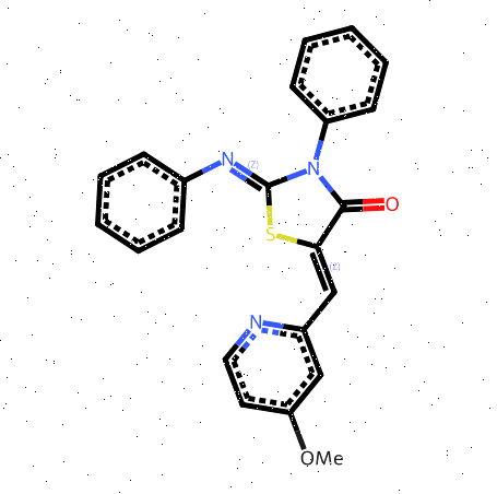 COc1ccnc(/C=C2\S/C(=N\c3ccccc3)N(c3ccccc3)C2=O)c1